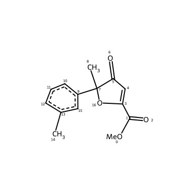 COC(=O)C1=CC(=O)C(C)(c2cccc(C)c2)O1